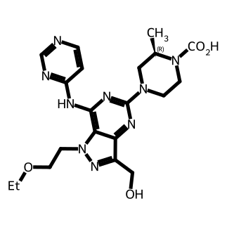 CCOCCn1nc(CO)c2nc(N3CCN(C(=O)O)[C@H](C)C3)nc(Nc3ccncn3)c21